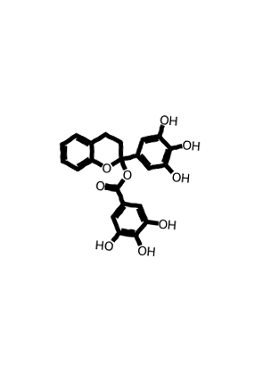 O=C(OC1(c2cc(O)c(O)c(O)c2)CCc2ccccc2O1)c1cc(O)c(O)c(O)c1